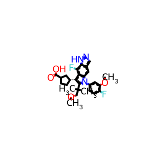 COCC(C)(C)c1c([C@@H]2CCC(C(=O)O)C2)c2c(F)c3[nH]ncc3cc2n1-c1ccc(F)c(OC)c1